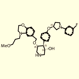 COCCCN1CCOc2ccc(CO[C@H]3CNC[C@@H](O)[C@@H]3c3ccc(O[C@H]4CCN(c5cccc(F)c5)C4)cc3)cc21